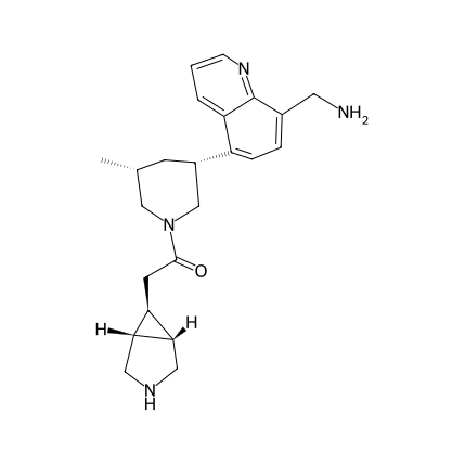 C[C@@H]1C[C@H](c2ccc(CN)c3ncccc23)CN(C(=O)C[C@H]2[C@@H]3CNC[C@@H]32)C1